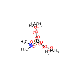 C=C(C)C(=O)OCCOC(=O)CCC(=O)Oc1ccc(OC(=O)CCC(=O)OCCOC(=O)C(C)(C)C)c2c1SC(=C1C(=O)N(CCCC)N(CCCC)C1=O)S2